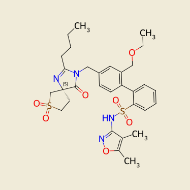 CCCCC1=N[C@@]2(CCS(=O)(=O)C2)C(=O)N1Cc1ccc(-c2ccccc2S(=O)(=O)Nc2noc(C)c2C)c(COCC)c1